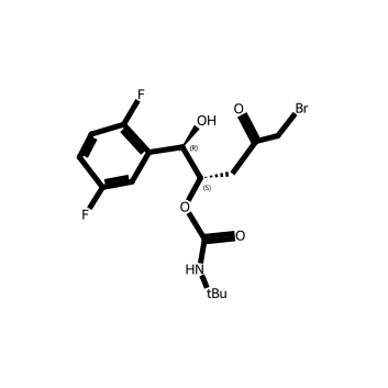 CC(C)(C)NC(=O)O[C@@H](CC(=O)CBr)[C@H](O)c1cc(F)ccc1F